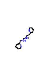 c1ccc(CCNCNCc2ccccn2)nc1